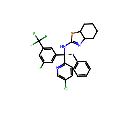 Fc1cc(C(F)(F)F)cc([C@@](Cc2ccccc2)(NC2=NC3CCCCC3S2)c2ccc(Cl)cn2)c1